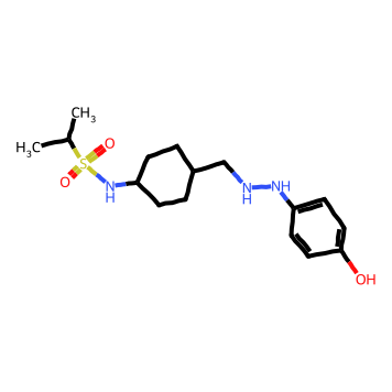 CC(C)S(=O)(=O)NC1CCC(CNNc2ccc(O)cc2)CC1